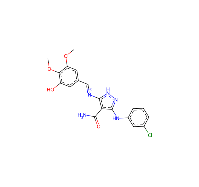 COc1cc(/C=N/c2[nH]nc(Nc3cccc(Cl)c3)c2C(N)=O)cc(O)c1OC